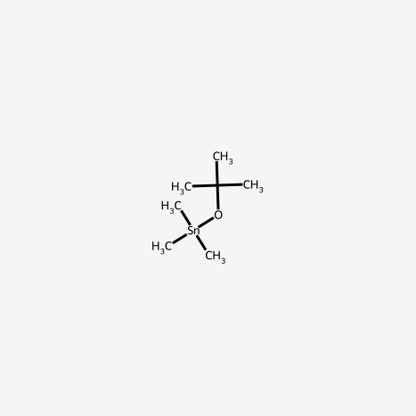 CC(C)(C)[O][Sn]([CH3])([CH3])[CH3]